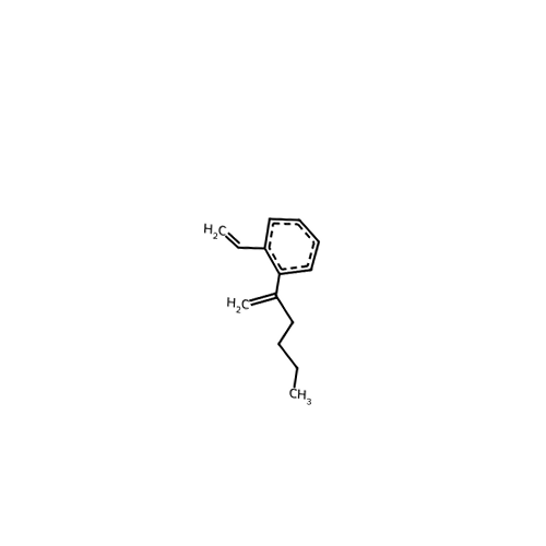 C=Cc1ccccc1C(=C)CCCC